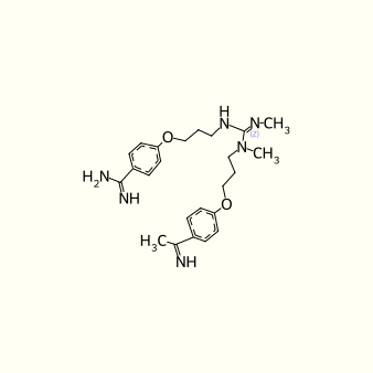 C/N=C(/NCCCOc1ccc(C(=N)N)cc1)N(C)CCCOc1ccc(C(C)=N)cc1